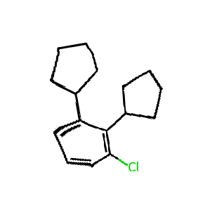 Clc1cccc(C2CCCC2)c1C1CCCC1